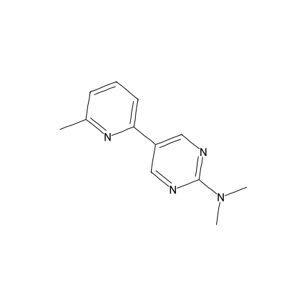 Cc1cccc(-c2cnc(N(C)C)nc2)n1